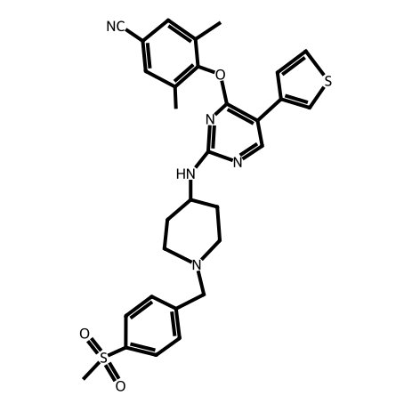 Cc1cc(C#N)cc(C)c1Oc1nc(NC2CCN(Cc3ccc(S(C)(=O)=O)cc3)CC2)ncc1-c1ccsc1